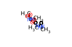 COC(=O)c1cnc(Oc2cc(N(C)c3nc(C)nc4ccccc34)ccc2OC)cn1